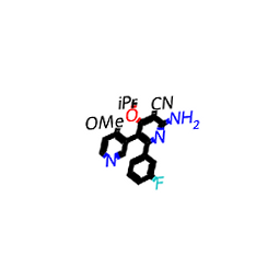 COc1ccncc1-c1c(-c2cccc(F)c2)nc(N)c(C#N)c1OC(C)C